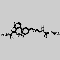 CCCCCC(=O)NCCOCC1CCCN(c2ccnc3sc(C(N)=O)c(N)c23)C1